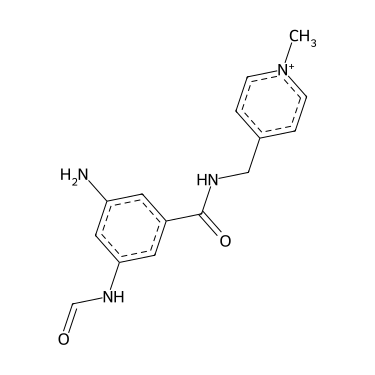 C[n+]1ccc(CNC(=O)c2cc(N)cc(NC=O)c2)cc1